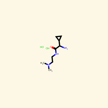 CN(C)CCNC(=O)C(N)C1CC1.Cl.Cl